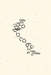 COC(=O)NC(C(=O)N1CCC[C@H]1c1ncc(-c2ccc3cc(-c4ccc(-c5cnc([C@@H]6CCCN6C(=O)[C@@H](NC(=O)OC)c6ccccc6OC)[nH]5)cc4)ccc3c2)[nH]1)C(C)C